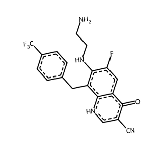 N#Cc1c[nH]c2c(Cc3ccc(C(F)(F)F)cc3)c(NCCN)c(F)cc2c1=O